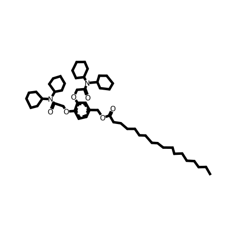 CCCCCCCCCCCCCCCCCC(=O)OCc1ccc(OCC(=O)N(C2CCCCC2)C2CCCCC2)c(OCC(=O)N(C2CCCCC2)C2CCCCC2)c1